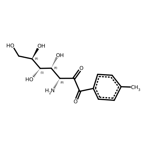 Cc1ccc(C(=O)C(=O)[C@H](N)[C@@H](O)[C@H](O)[C@H](O)CO)cc1